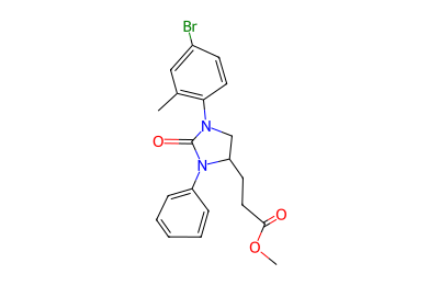 COC(=O)CCC1CN(c2ccc(Br)cc2C)C(=O)N1c1ccccc1